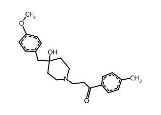 Cc1ccc(C(=O)CCN2CCC(O)(Cc3ccc(OC(F)(F)F)cc3)CC2)cc1